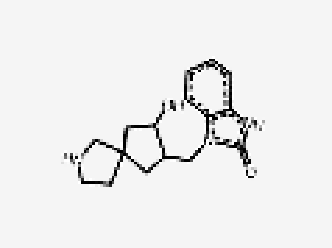 O=c1[nH]c2ccccc2n1CC1CC2(CCNC2)CC1O